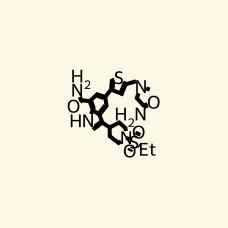 CCS(=O)(=O)N1CCC(c2c[nH]c3c(C(N)=O)cc(-c4csc(CN(C)CC(N)=O)c4)cc23)CC1